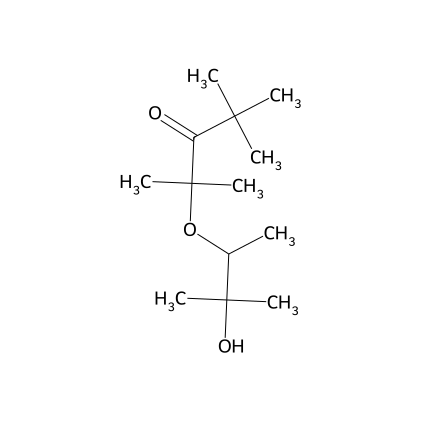 CC(OC(C)(C)C(=O)C(C)(C)C)C(C)(C)O